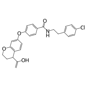 C=C(O)C1CCOc2cc(Oc3ccc(C(=O)NCCc4ccc(Cl)cc4)cc3)ccc21